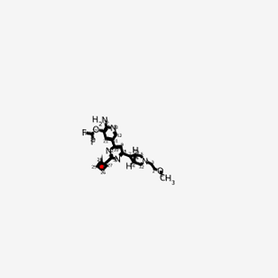 COCCN1C[C@@H]2C(c3cc(-c4cnc(N)c(OC(F)F)c4)nc(N4CC5CC4C5)n3)[C@@H]2C1